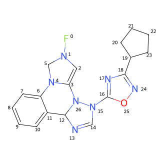 FN1C=C2N(C1)c1ccccc1C1N=CN(c3nc(C4CCCC4)no3)N21